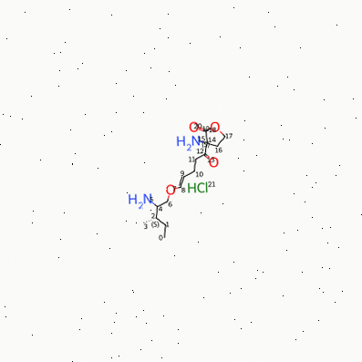 CC[C@H](C)C(N)COC=CCCC(=O)[C@@]1(N)CCOC1=O.Cl